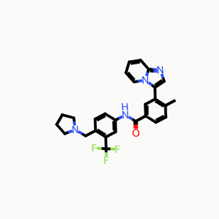 Cc1ccc(C(=O)Nc2ccc(CN3CCCC3)c(C(F)(F)F)c2)cc1-c1cnc2ccccn12